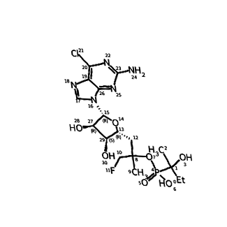 CCC(C)(O)P(=O)(O)OC(C)(CF)C[C@H]1O[C@@H](n2cnc3c(Cl)nc(N)nc32)[C@H](O)[C@@H]1O